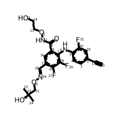 C#Cc1ccc(Nc2c(C(=O)NOCCO)cc(/C=N/OCC(C)(C)O)c(F)c2F)c(F)c1